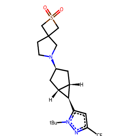 CC(C)(C)n1nc(C(F)(F)F)cc1[C@H]1[C@@H]2C[C@@H](N3CCC4(C3)CS(=O)(=O)C4)C[C@@H]21